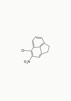 O=[N+]([O-])c1cc2c3c(cccc3c1Cl)CC2